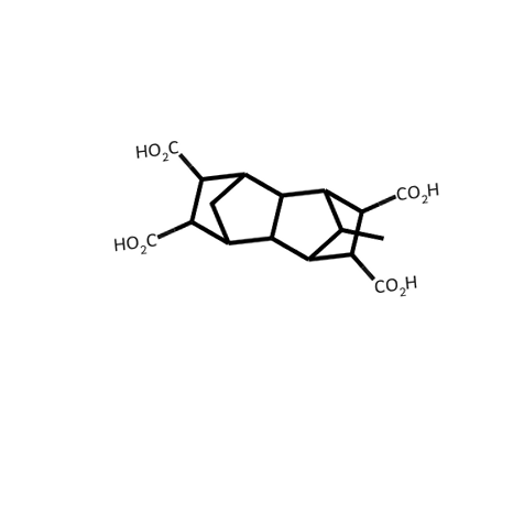 CC1C2C(C(=O)O)C(C(=O)O)C1C1C3CC(C(C(=O)O)C3C(=O)O)C21